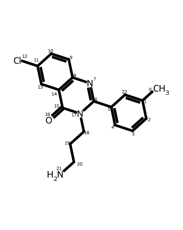 Cc1cccc(-c2nc3ccc(Cl)cc3c(=O)n2CCCN)c1